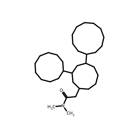 CN(C)C(=O)CC1CCCCC(C2CCCCCCCCCC2)CC(C2CCCCCCCCC2)C1